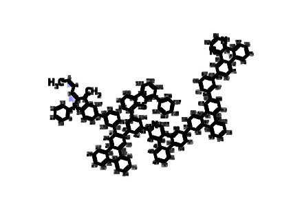 C=c1/c(=C\C=C/C)n(-c2ccccc2)c2ccc(-c3cccc(-c4cc5c6ccccc6c6ccccc6c5cc4-c4cc(-c5cc6c7ccccc7c7ccc(-c8ccc9c%10cc(-c%11cccc(-c%12ccc%13c%14ccccc%14c%14nccnc%14c%13c%12)c%11)ccc%10c%10ccccc%10c9c8)cc7c6cn5)cc(-c5cccc6c5sc5c(-c7ccccc7)cccc56)c4)c3)cc12